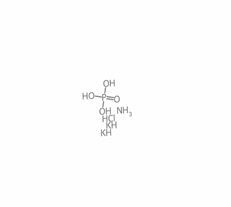 Cl.N.O=P(O)(O)O.[KH].[KH]